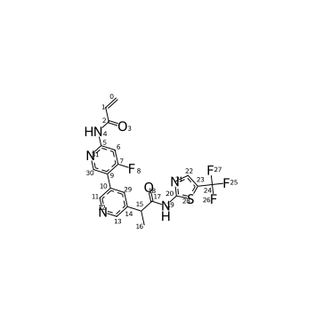 C=CC(=O)Nc1cc(F)c(-c2cncc(C(C)C(=O)Nc3ncc(C(F)(F)F)s3)c2)cn1